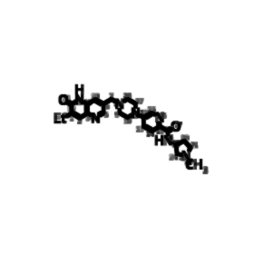 CCc1cc2ncc(CN3CCN(c4ccc(C(=O)N[C@@H]5CCN(C)C5)nc4)CC3)cc2[nH]c1=O